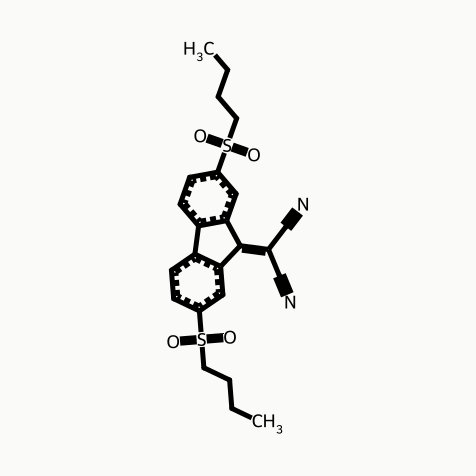 CCCCS(=O)(=O)c1ccc2c(c1)C(=C(C#N)C#N)c1cc(S(=O)(=O)CCCC)ccc1-2